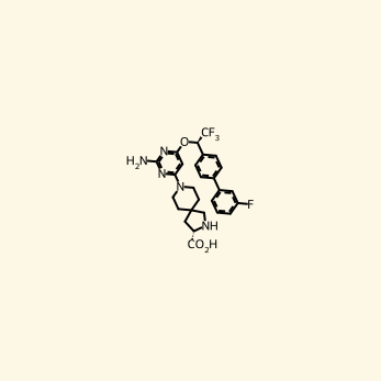 Nc1nc(O[C@H](c2ccc(-c3cccc(F)c3)cc2)C(F)(F)F)cc(N2CCC3(CC2)CN[C@H](C(=O)O)C3)n1